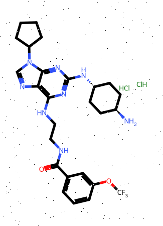 Cl.Cl.N[C@H]1CC[C@H](Nc2nc(NCCNC(=O)c3cccc(OC(F)(F)F)c3)c3ncn(C4CCCC4)c3n2)CC1